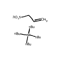 C=CCS(=O)(=O)O.CCCC[N+](CCCC)(CCCC)CCCC